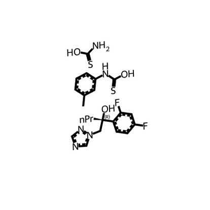 CCC[C@](O)(Cn1cncn1)c1ccc(F)cc1F.Cc1cccc(NC(O)=S)c1.NC(O)=S